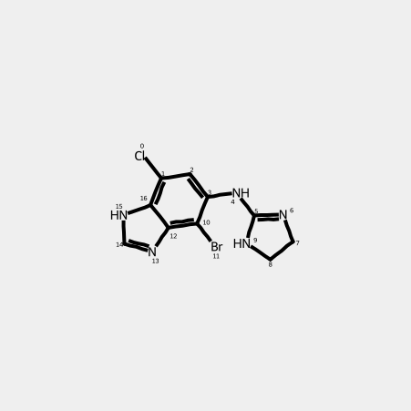 Clc1cc(NC2=NCCN2)c(Br)c2nc[nH]c12